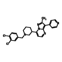 Cc1nn2c(C3CCCN(Cc4ccc(Cl)c(Cl)c4)C3)ccnc2c1-c1ccncc1